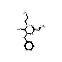 C=CC(=O)NC(Cc1ccccc1)C(=O)OCCO